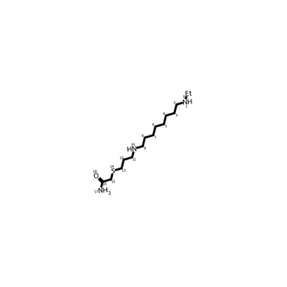 CCNCCCCCCCCNCCCSCC(N)=O